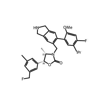 COc1cc(F)c(C(C)C)cc1-c1cc2c(cc1CN1C(=O)O[C@H](c3cc(C)cc(CF)c3)[C@@H]1C)CNC2